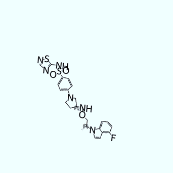 C[C@H](CON[C@@H]1CCN(c2ccc(S(=O)(=O)Nc3ncns3)cc2)C1)n1ccc2c(F)cccc21